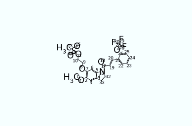 COc1cc2c(cc1OCCOS(C)(=O)=O)N(C(=O)C=Cc1ccccc1OC(F)(F)F)CC2